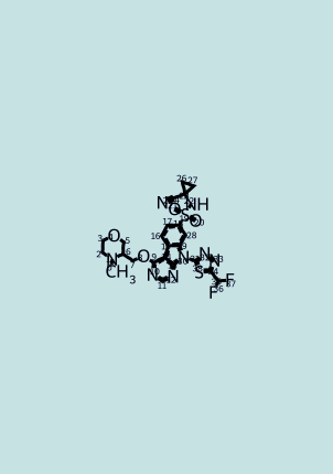 CN1CCOCC1COc1ncnc2c1c1ccc(S(=O)(=O)NC3(C#N)CC3)cc1n2-c1nnc(C(F)F)s1